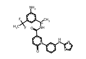 C[C@@H](NC(=O)c1ccc(=O)n(-c2cccc(Nc3nccs3)c2)c1)c1cc(N)cc(C(C)(F)F)c1